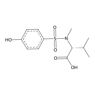 CC(C)[C@H](C(=O)O)N(C)S(=O)(=O)c1ccc(O)cc1